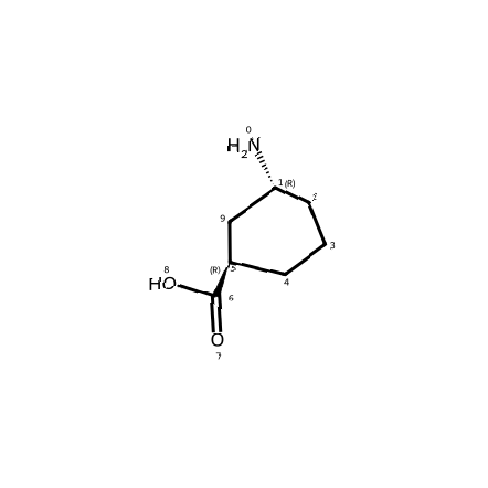 N[C@@H]1CCC[C@@H](C(=O)O)C1